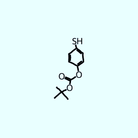 CC(C)(C)OC(=O)Oc1ccc(S)cc1